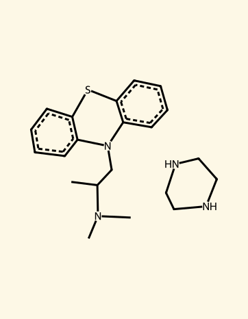 C1CNCCN1.CC(CN1c2ccccc2Sc2ccccc21)N(C)C